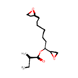 C=C(CC)C(=O)OC(CCCCCC1CO1)C1CO1